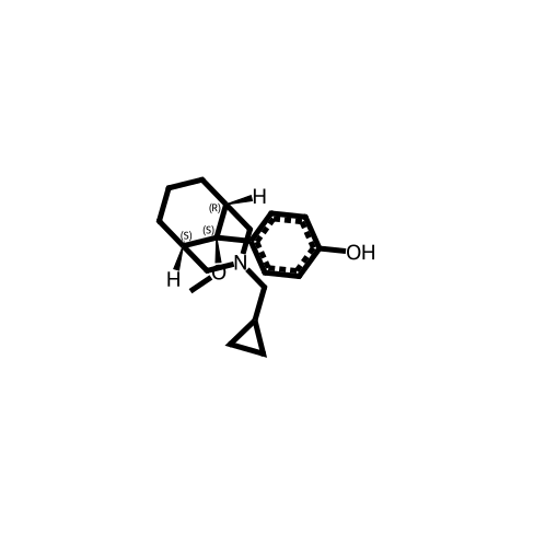 CO[C@]1(c2ccc(O)cc2)[C@@H]2CCC[C@H]1CN(CC1CC1)C2